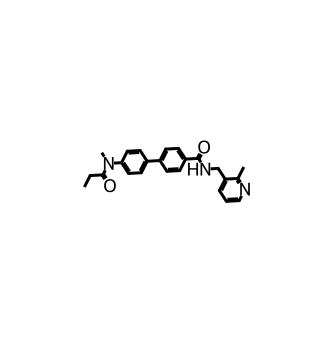 CCC(=O)N(C)c1ccc(-c2ccc(C(=O)NCc3cccnc3C)cc2)cc1